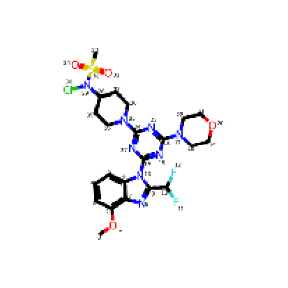 COc1cccc2c1nc(C(F)F)n2-c1nc(N2CCOCC2)nc(N2CCC(N(Cl)S(C)(=O)=O)CC2)n1